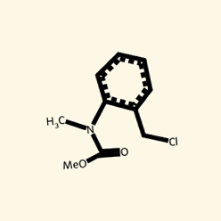 COC(=O)N(C)c1ccccc1CCl